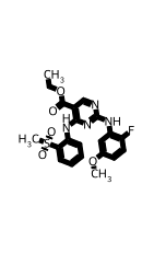 CCOC(=O)c1cnc(Nc2cc(OC)ccc2F)nc1Nc1ccccc1S(C)(=O)=O